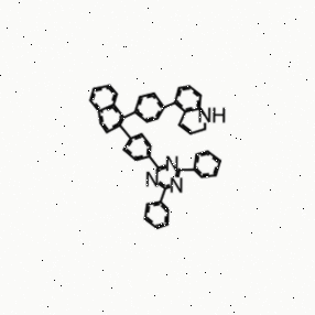 C1=Cc2c(cccc2-c2ccc(-c3c(-c4ccc(-c5nc(-c6ccccc6)nc(-c6ccccc6)n5)cc4)ccc4ccccc34)cc2)NC1